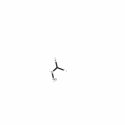 O=NOC(F)F